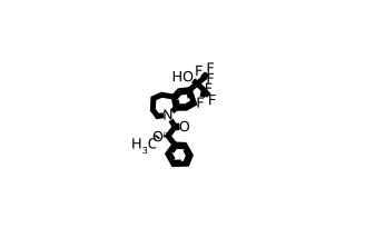 CO[C@H](C(=O)N1CCCCc2cc(C(O)(C(F)(F)F)C(F)(F)F)ccc21)c1ccccc1